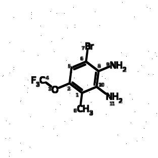 Cc1c(OC(F)(F)F)cc(Br)c(N)c1N